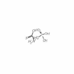 NC(O)=S.O=P(O)(O)O